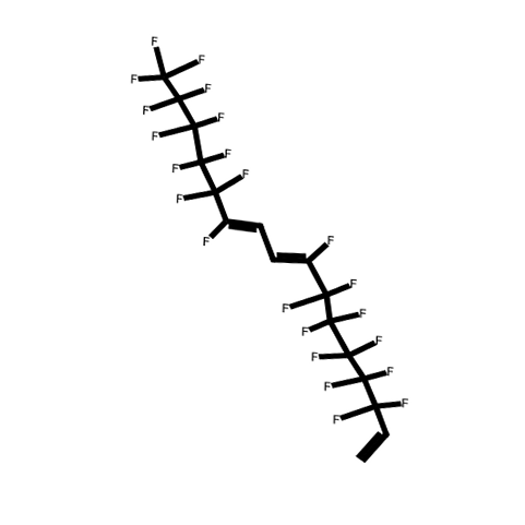 C=CC(F)(F)C(F)(F)C(F)(F)C(F)(F)C(F)(F)/C(F)=C/C=C(\F)C(F)(F)C(F)(F)C(F)(F)C(F)(F)C(F)(F)F